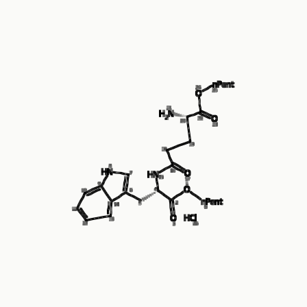 CCCCCOC(=O)[C@H](Cc1c[nH]c2ccccc12)NC(=O)CC[C@H](N)C(=O)OCCCCC.Cl